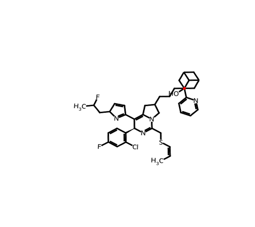 C/C=C\SCC1=N[C@@H](c2ccc(F)cc2Cl)C(C2=NC(CC(C)F)C=C2)=C2CC(CCCCC3C4CC3CC(O)(c3ccccn3)C4)CN12